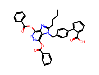 CCCCc1nc2c(OC(=O)c3ccccc3)nnc(OC(=O)c3ccccc3)c2n1Cc1ccc(-c2ccccc2C(=O)O)cc1